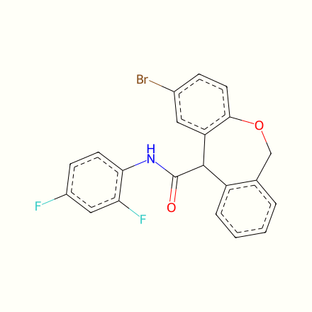 O=C(Nc1ccc(F)cc1F)C1c2ccccc2COc2ccc(Br)cc21